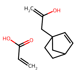 C=C(O)CC12C=CC(CC1)C2.C=CC(=O)O